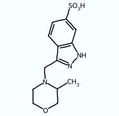 CC1COCCN1Cc1n[nH]c2cc(S(=O)(=O)O)ccc12